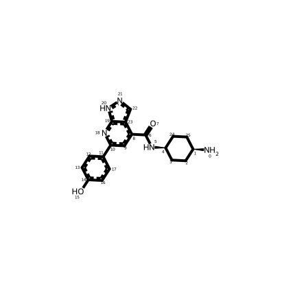 N[C@H]1CC[C@@H](NC(=O)c2cc(-c3ccc(O)cc3)nc3[nH]ncc23)CC1